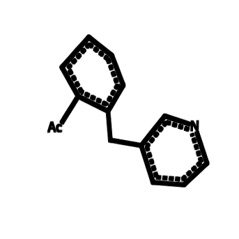 CC(=O)c1ccccc1Cc1cccnc1